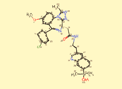 COc1ccc2c(c1)C(c1ccc(Cl)cc1)=N[C@@H](CC(=O)NCCc1cnc3cc([Si](C)(C)O)ccc3c1)c1nnc(C)n1-2